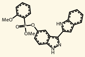 COc1ccccc1P(=O)(OC)Oc1ccc2[nH]nc(-c3cc4ccccc4[nH]3)c2c1